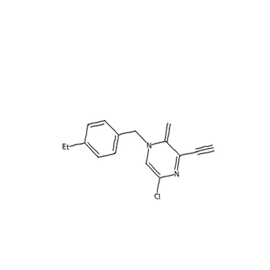 C#CC1=NC(Cl)=CN(Cc2ccc(CC)cc2)C1=C